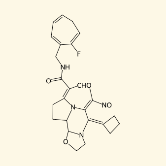 C/C(N=O)=C1/C(=C2CCC2)N2CCOC2C2CC/C(=C(/C=O)C(=O)NCC3=CC=CCC=C3F)N12